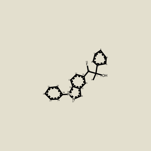 CC(O)(c1ccccc1)C(F)c1ccc2c(cnn2-c2ccccc2)c1